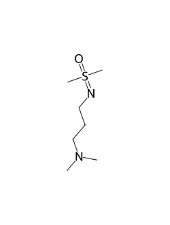 CN(C)CCCN=S(C)(C)=O